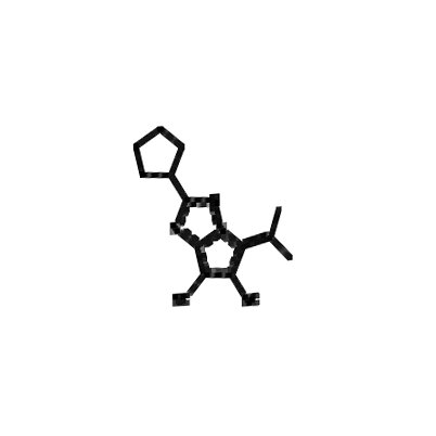 [C-]#[N+]c1c(C#N)c2nc(C3CCCC3)nn2c1=C(C)C